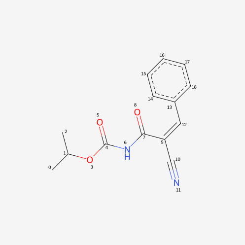 CC(C)OC(=O)NC(=O)C(C#N)=Cc1ccccc1